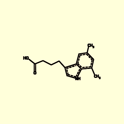 Cc1cc(C)c2[nH]cc(CCCC(=O)O)c2c1